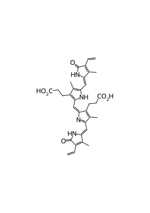 C=CC1=C(C)/C(=C/C2=NC(=C/c3[nH]c(/C=C4\NC(=O)C(C=C)=C4C)c(C)c3CCC(=O)O)/C(CCC(=O)O)=C2C)NC1=O